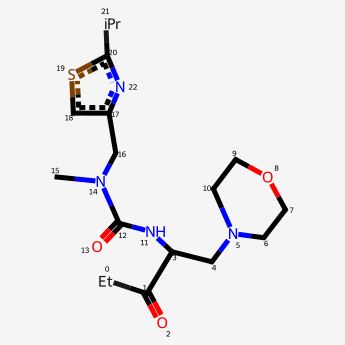 CCC(=O)C(CN1CCOCC1)NC(=O)N(C)Cc1csc(C(C)C)n1